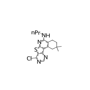 CCCNc1nc2sc3c(Cl)ncnc3c2c2c1CCC(C)(C)C2